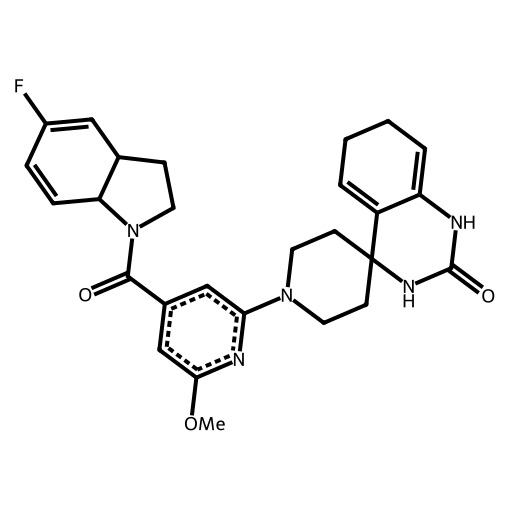 COc1cc(C(=O)N2CCC3C=C(F)C=CC32)cc(N2CCC3(CC2)NC(=O)NC2=CCCC=C23)n1